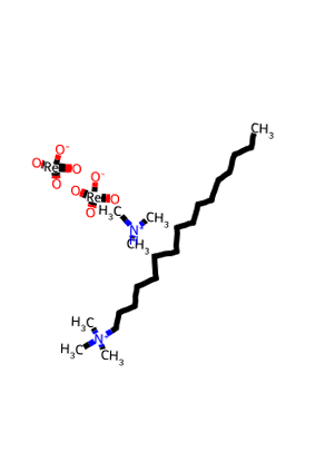 CCCCCCCCCCCCCCCC[N+](C)(C)C.C[NH+](C)C.[O]=[Re](=[O])(=[O])[O-].[O]=[Re](=[O])(=[O])[O-]